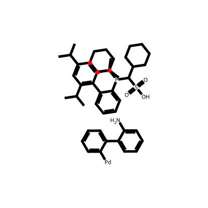 CC(C)c1cc(C(C)C)c(-c2ccccc2P(C2CCCCC2)C(C2CCCCC2)S(=O)(=O)O)c(C(C)C)c1.Nc1ccccc1-c1cccc[c]1[Pd]